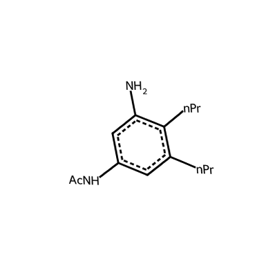 CCCc1cc(NC(C)=O)cc(N)c1CCC